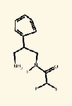 NCC(CN(F)C(=O)C(F)F)c1ccccc1